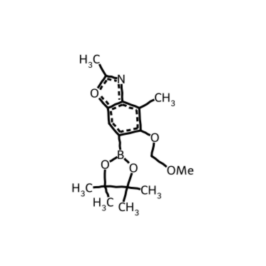 COCOc1c(B2OC(C)(C)C(C)(C)O2)cc2oc(C)nc2c1C